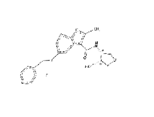 Cc1oc2ccc(OCc3ccccc3F)cc2c1C(=O)N[C@@H]1COC[C@@H]1O